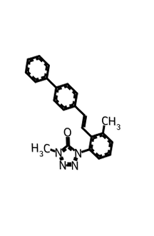 Cc1cccc(-n2nnn(C)c2=O)c1C=Cc1ccc(-c2ccccc2)cc1